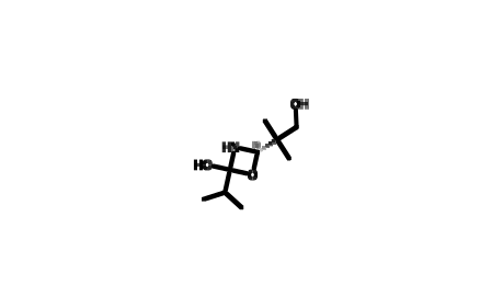 CC(C)C1(O)N[C@H](C(C)(C)CO)O1